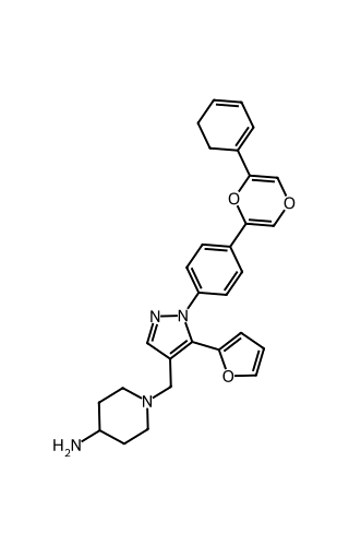 NC1CCN(Cc2cnn(-c3ccc(C4=COC=C(C5=CC=CCC5)O4)cc3)c2-c2ccco2)CC1